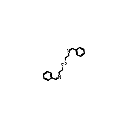 C(=N/CCSSCC/N=C\c1ccccc1)/c1ccccc1